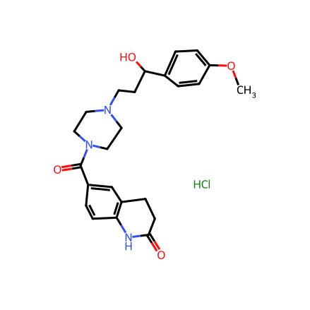 COc1ccc(C(O)CCN2CCN(C(=O)c3ccc4c(c3)CCC(=O)N4)CC2)cc1.Cl